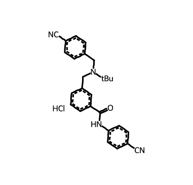 CC(C)(C)N(Cc1ccc(C#N)cc1)Cc1cccc(C(=O)Nc2ccc(C#N)cc2)c1.Cl